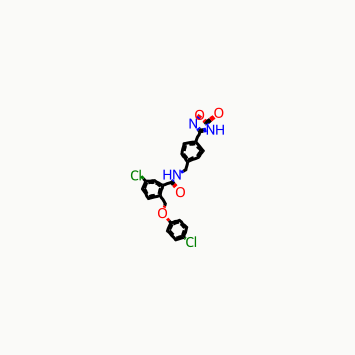 O=C(NCc1ccc(-c2noc(=O)[nH]2)cc1)c1cc(Cl)ccc1COc1ccc(Cl)cc1